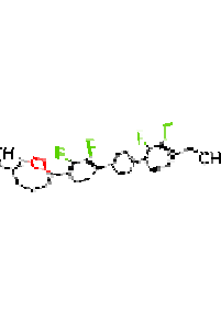 C=CC1CCCC(c2ccc(-c3ccc(-c4ccc(CC)c(F)c4F)cc3)c(F)c2F)OC1